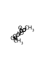 Cc1ccc2oc(N3CCC4(CC3)CN(C)C(=O)O4)cc(=O)c2c1